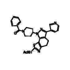 CC(=O)Nc1nc2c(s1)-c1c(c(-c3cccnc3)nn1C1CCN(C(=O)c3ccccc3)CC1)CC2